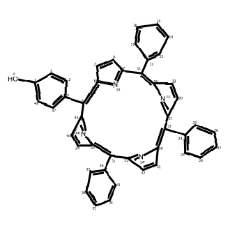 Oc1ccc(C2=C3C=CC(=N3)C(c3ccccc3)=C3C=CC(=N3)C(c3ccccc3)=C3C=CC(=N3)C(c3ccccc3)=C3C=CC2=N3)cc1